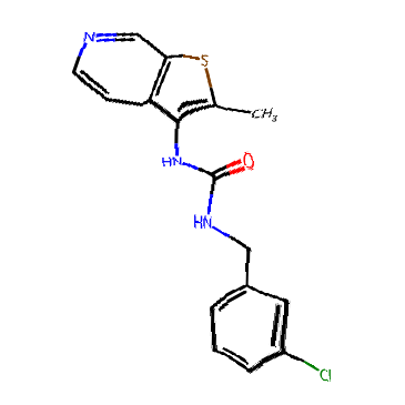 Cc1sc2cnccc2c1NC(=O)NCc1cccc(Cl)c1